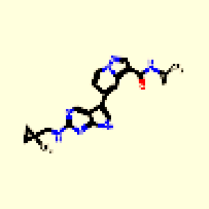 C[C@@H](NC(=O)c1cnn2ccc(-c3c[nH]c4nc(NCC5(C(F)(F)F)CC5)ncc34)cc12)C(F)(F)F